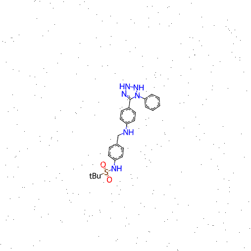 CC(C)(C)S(=O)(=O)Nc1ccc(CNc2ccc(C3=NNNN3c3ccccc3)cc2)cc1